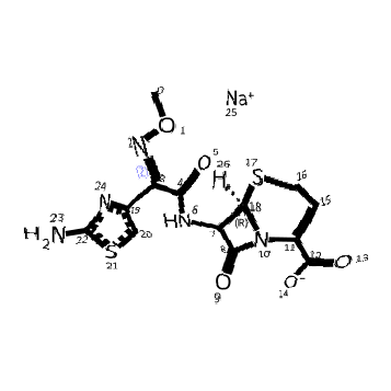 CO/N=C(\C(=O)NC1C(=O)N2C(C(=O)[O-])=CCS[C@H]12)c1csc(N)n1.[Na+]